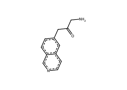 NCC(=O)Cc1ccc2cnccc2c1